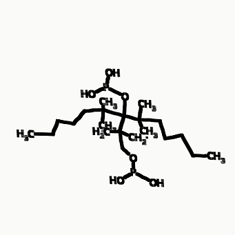 [CH2]C([CH2])(COP(O)O)C(OP(O)O)(C(C)(C)CCCCC)C(C)(C)CCCCC